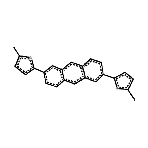 Cc1ccc(-c2ccc3cc4cc(-c5ccc(I)s5)ccc4cc3c2)s1